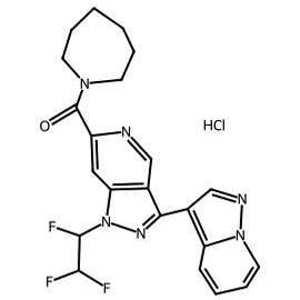 Cl.O=C(c1cc2c(cn1)c(-c1cnn3ccccc13)nn2C(F)C(F)F)N1CCCCCC1